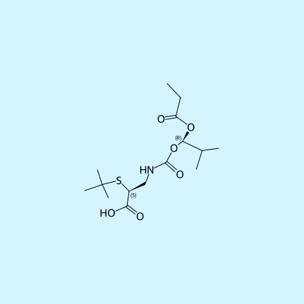 CCC(=O)O[C@H](OC(=O)NC[C@H](SC(C)(C)C)C(=O)O)C(C)C